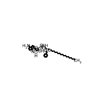 CCCCCCCCCCCCCCCCCCOC[C@H](CO[P@@](=O)(S)OC[C@H]1O[C@@](C#N)(c2ccc3c(N)ccnn23)[C@H](O)[C@@H]1O)OCc1ccccc1